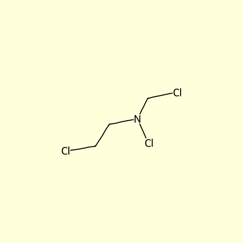 ClCCN(Cl)CCl